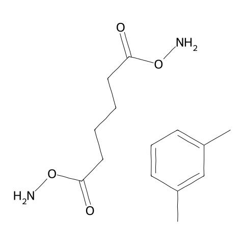 Cc1cccc(C)c1.NOC(=O)CCCCC(=O)ON